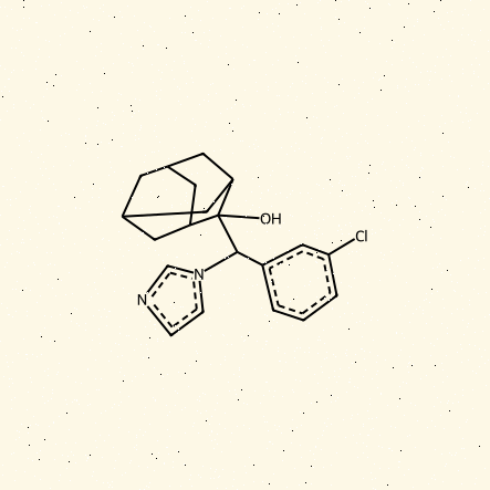 OC1(C(c2cccc(Cl)c2)n2ccnc2)C2CC3CC(C2)CC1C3